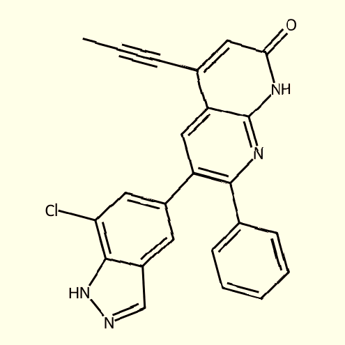 CC#Cc1cc(=O)[nH]c2nc(-c3ccccc3)c(-c3cc(Cl)c4[nH]ncc4c3)cc12